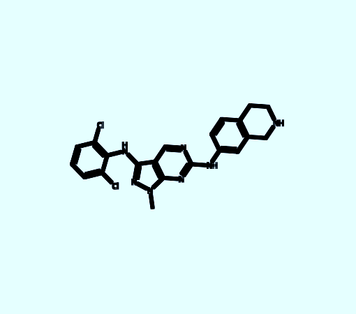 Cn1nc(Nc2c(Cl)cccc2Cl)c2cnc(Nc3ccc4c(c3)CNCC4)nc21